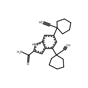 C#CC1(c2cc(C3(C#C)CCCCC3)c3cc(C(N)=O)[nH]c3c2)CCCCC1